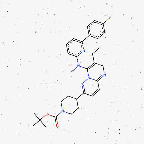 CCC1=C(N(C)c2cccc(-c3ccc(F)cc3)n2)N2N=C(C3CCN(C(=O)OC(C)(C)C)CC3)C=CC2=NC1